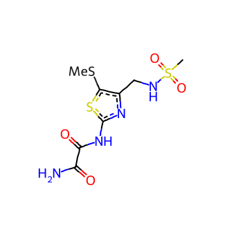 CSc1sc(NC(=O)C(N)=O)nc1CNS(C)(=O)=O